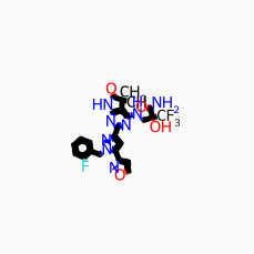 CC1(C)C(=O)Nc2nc(-c3cc(-c4ccon4)n(Cc4ccccc4F)n3)nc(NCC(O)(C(N)=O)C(F)(F)F)c21